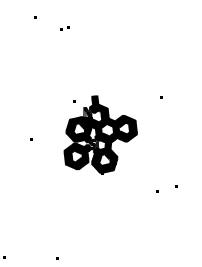 Cc1cc2c(cn1)c1c(c3ccccc32)-c2ccccc2[Si]1(c1ccccc1)c1ccccc1